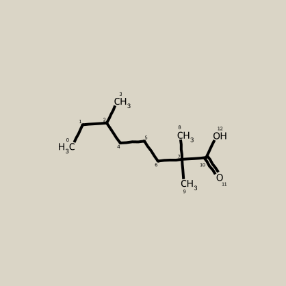 CCC(C)CCCC(C)(C)C(=O)O